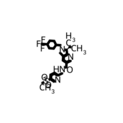 CCS(=O)(=O)c1ccc(CNC(=O)c2cnc3c(c2)CN(CC2CCC(C(F)(F)F)CC2)[C@H]3C(C)C)nc1